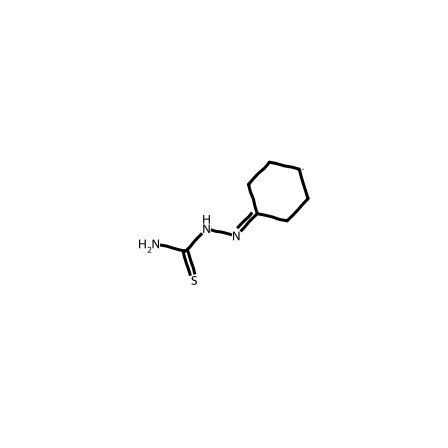 NC(=S)NN=C1CC[CH]CC1